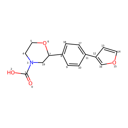 O=C(O)N1CCOC(c2ccc(-c3ccoc3)cc2)C1